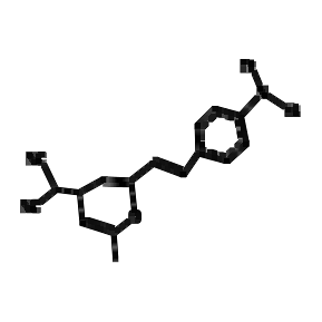 CCN(CC)c1ccc(C=CC2=CC(C(C#N)C#N)C=C(C)O2)cc1